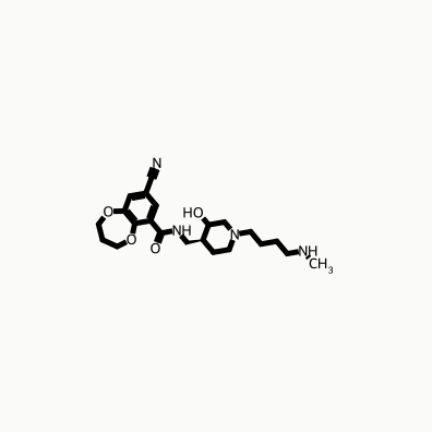 CNCCCCN1CC[C@@H](CNC(=O)c2cc(C#N)cc3c2OCCCO3)C(O)C1